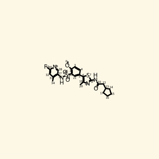 COc1ccc(-c2sc(NC(=O)CC3CCCC3)nc2C)cc1S(=O)(=O)Nc1cnc(F)cc1C